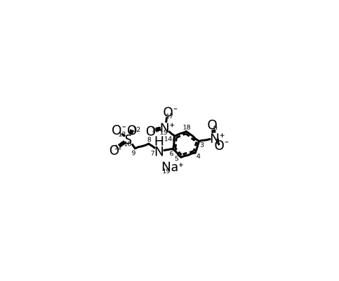 O=[N+]([O-])c1ccc(NCCS(=O)(=O)[O-])c([N+](=O)[O-])c1.[Na+]